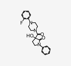 O=C(N1CCN(c2ccccc2F)CC1)C1(O)CCN(c2ccccc2)C1=O